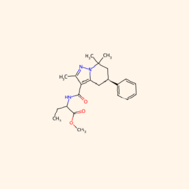 CCC(NC(=O)c1c(C)nn2c1C[C@H](c1ccccc1)CC2(C)C)C(=O)OC